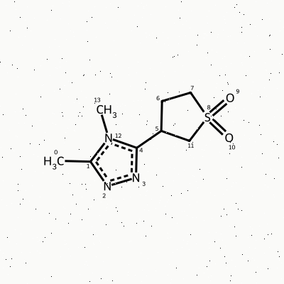 Cc1nnc(C2CCS(=O)(=O)C2)n1C